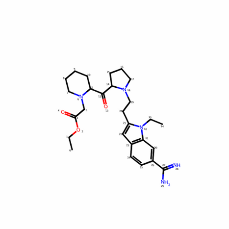 CCOC(=O)CN1CCCCC1C(=O)C1CCCN1CCc1cc2ccc(C(=N)N)cc2n1CC